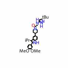 COc1ccc(-c2[nH]c3ccc(C4CCN(C(=O)CNc5cc(C(C)(C)C)n[nH]5)CC4)cc3c2C(C)C)cc1OC